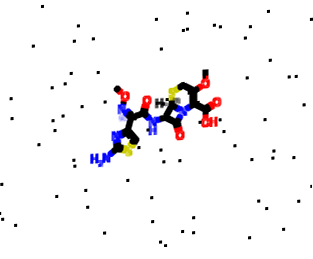 CO/N=C(\C(=O)NC1C(=O)N2C(C(=O)O)=C(OC)CS[C@H]12)c1csc(N)n1